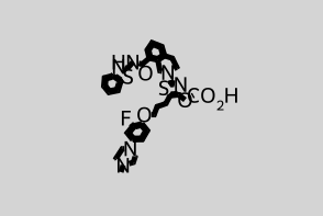 CN1CCN(c2ccc(OCCCc3sc(N4CCc5cccc(C(=O)Nc6nc7ccccc7s6)c5C4)nc3OC(=O)O)c(F)c2)CC1